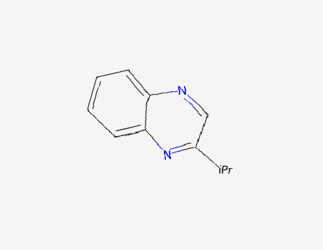 CC(C)c1cnc2ccccc2n1